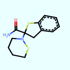 NC(=O)C1(N2CCCCS2)Cc2ccccc2S1